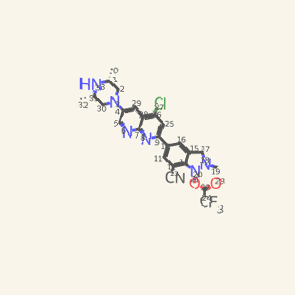 C[C@@H]1CN(c2cnc3nc(-c4cc(C#N)c5c(c4)CN(C)N5OC(=O)C(F)(F)F)cc(Cl)c3c2)C[C@H](C)N1